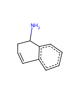 NC1CC=Cc2ccccc21